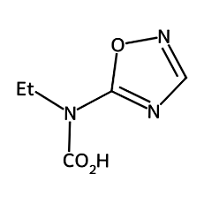 CCN(C(=O)O)c1ncno1